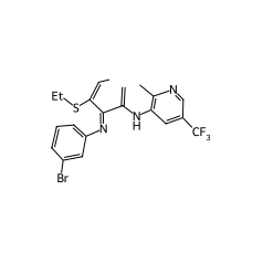 C=C(Nc1cc(C(F)(F)F)cnc1C)C(=N/c1cccc(Br)c1)/C(=C\C)SCC